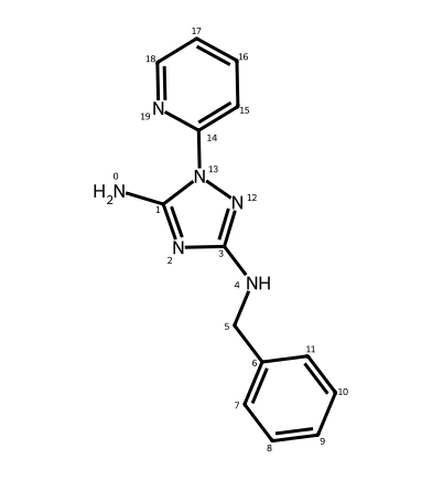 Nc1nc(NCc2ccccc2)nn1-c1ccccn1